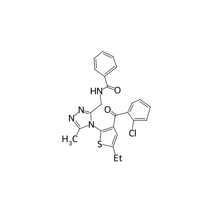 CCc1cc(C(=O)c2ccccc2Cl)c(-n2c(C)nnc2CNC(=O)c2ccccc2)s1